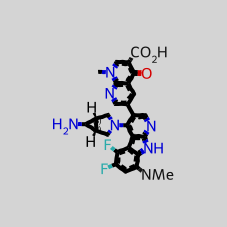 CNc1cc(F)c(F)c2c1[nH]c1ncc(-c3cnc4c(c3)c(=O)c(C(=O)O)cn4C)c(N3C[C@@H]4C(N)[C@@H]4C3)c12